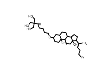 CC(C)CCCC(C)C1CCC2C3CCC4CC(OCCCCNC(CO)(CO)CO)CCC4(C)C3CCC12C